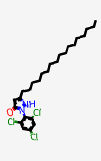 CCCCCCCCCCCCCCCCCc1cc(=O)n(-c2c(Cl)cc(Cl)cc2Cl)[nH]1